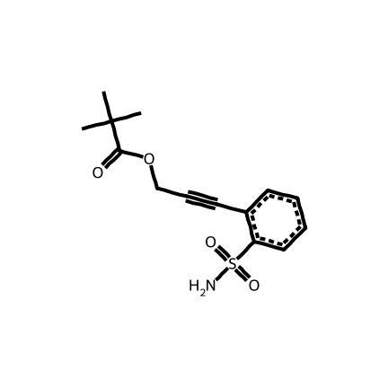 CC(C)(C)C(=O)OCC#Cc1ccccc1S(N)(=O)=O